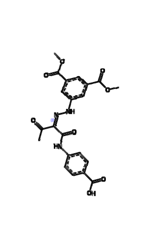 COC(=O)c1cc(N/N=C(/C(C)=O)C(=O)Nc2ccc(C(=O)O)cc2)cc(C(=O)OC)c1